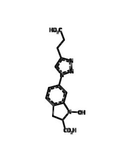 O=C(O)CCc1cn(-c2ccc3c(c2)N(O)C(C(=O)O)C3)nn1